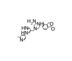 Cc1cc(N/C=C(\C=N)CN2C[C@@H](c3ccc4c(c3C)COC4=O)N[C@@H](N)C2)ccn1